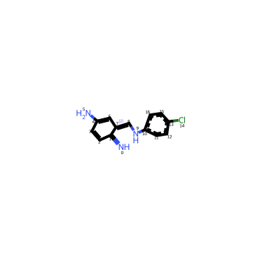 N=C1C=CC(N)=C/C1=C/Nc1ccc(Cl)cc1